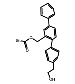 CC(C)(C)C(=O)OCc1cc(-c2ccccc2)ccc1-c1ccc(CCO)cc1